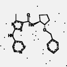 Cc1nc(Nc2ccncc2)sc1C(=O)N[C@H]1CCC[C@@H]1OCc1ccccc1